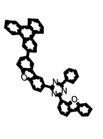 c1ccc(-c2nc(-c3ccc4oc5ccc(-c6ccc7c8ccccc8c8ccccc8c7c6)cc5c4c3)nc(-c3cccc4c3oc3ccccc34)n2)cc1